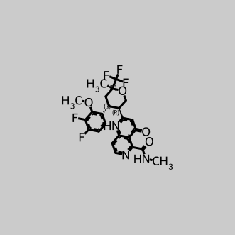 CNC(=O)c1nccc2[nH]c([C@@H]3CO[C@@](C)(C(F)(F)F)C[C@H]3c3ccc(F)c(F)c3OC)cc(=O)c12